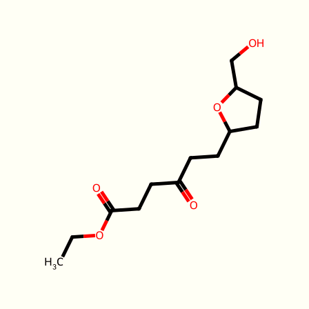 CCOC(=O)CCC(=O)CCC1CCC(CO)O1